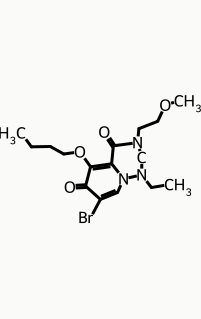 CCCCOc1c2n(cc(Br)c1=O)N(CC)CN(CCOC)C2=O